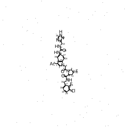 CC(=O)c1cn(CC(=O)N2C[C@H](F)C[C@H]2C(=O)NCc2cccc(Cl)c2F)c2ccc(NC(=O)NCc3nc[nH]n3)cc12